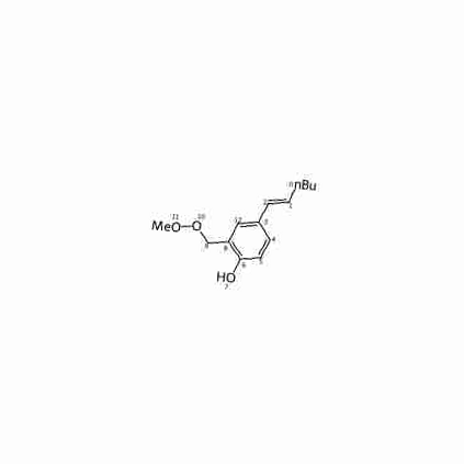 CCCCC=Cc1ccc(O)c(COOC)c1